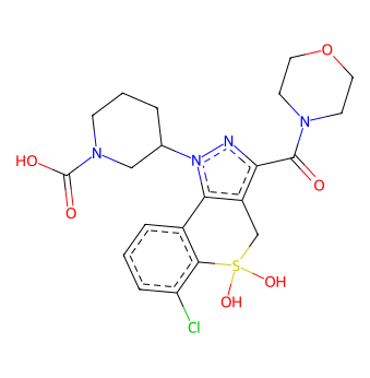 O=C(O)N1CCCC(n2nc(C(=O)N3CCOCC3)c3c2-c2cccc(Cl)c2S(O)(O)C3)C1